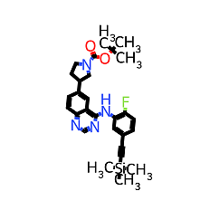 CC(C)(C)OC(=O)N1CCC(c2ccc3ncnc(Nc4cc(C#C[Si](C)(C)C)ccc4F)c3c2)C1